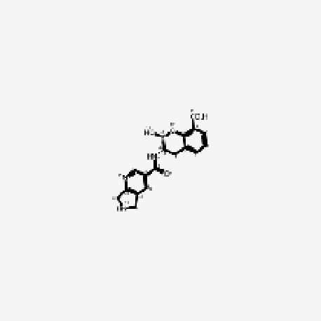 O=C(N[C@H]1Cc2cccc(C(=O)O)c2OB1O)c1cnc2c(c1)CNC2